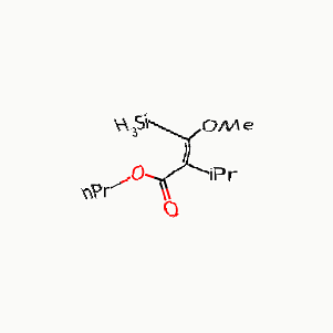 CCCOC(=O)C(=C([SiH3])OC)C(C)C